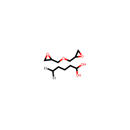 C(OCC1CO1)C1CO1.CCC(CC)CCCC(O)O